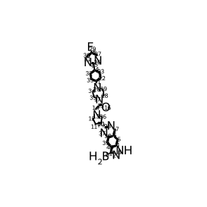 Bc1n[nH]c2cc3cnc([C@@H]4CCN(CC(=O)N5CCN(c6ccc(-c7ncc(F)cn7)cc6)CC5)C4)nc3cc12